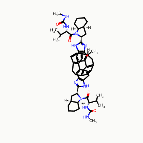 CNC(=O)N[C@H](C(=O)N1[C@H](c2nc3cc(-c4cc5ccc4CCc4ccc(c(-c6ccc7[nH]c([C@@H]8C[C@@H]9CCCC[C@@H]9N8C(=O)[C@@H](NC(=O)NC)C(C)C)nc7c6)c4)C[C@H]5C)ccc3[nH]2)C[C@@H]2CCCC[C@@H]21)C(C)C